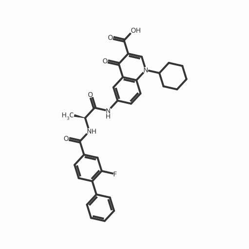 C[C@H](NC(=O)c1ccc(-c2ccccc2)c(F)c1)C(=O)Nc1ccc2c(c1)c(=O)c(C(=O)O)cn2C1CCCCC1